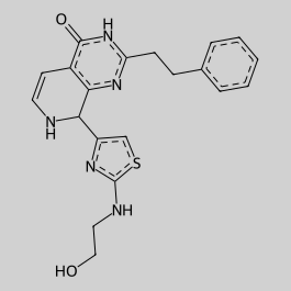 O=c1[nH]c(CCc2ccccc2)nc2c1C=CNC2c1csc(NCCO)n1